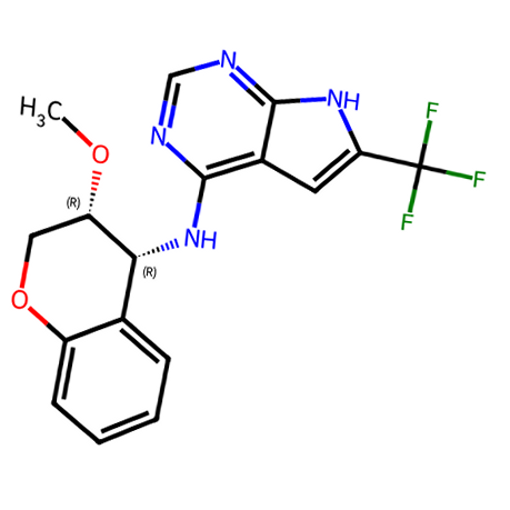 CO[C@H]1COc2ccccc2[C@H]1Nc1ncnc2[nH]c(C(F)(F)F)cc12